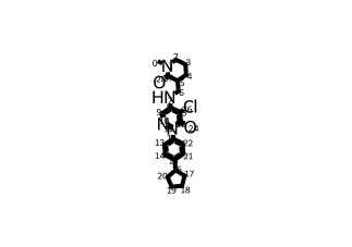 CN1CCCC(CNc2cnn(-c3ccc(C4CCCC4)cc3)c(=O)c2Cl)C1=O